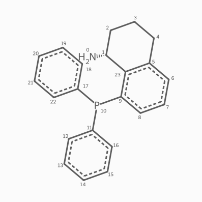 N[C@@H]1CCCc2cccc(P(c3ccccc3)c3ccccc3)c21